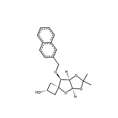 CC1(C)O[C@H]2O[C@]3(C[C@@H](O)C3)[C@@H](OCc3ccc4ccccc4c3)[C@H]2O1